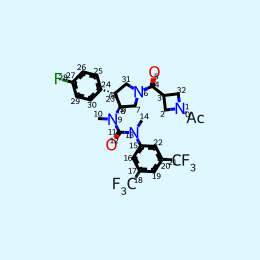 CC(=O)N1CC(C(=O)N2C[C@@H](N(C)C(=O)N(C)c3cc(C(F)(F)F)cc(C(F)(F)F)c3)[C@H](c3ccc(F)cc3)C2)C1